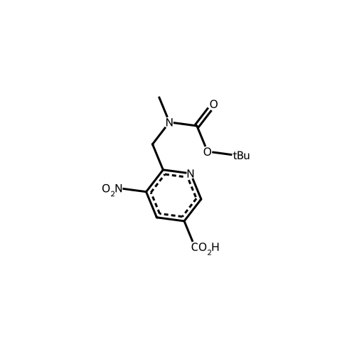 CN(Cc1ncc(C(=O)O)cc1[N+](=O)[O-])C(=O)OC(C)(C)C